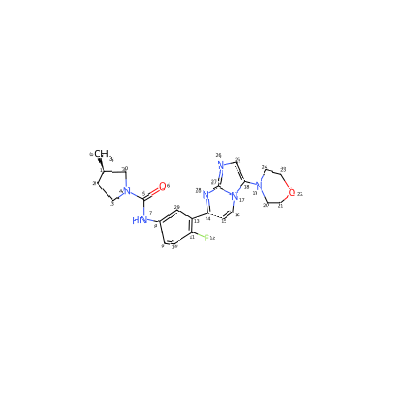 C[C@@H]1CCN(C(=O)Nc2ccc(F)c(-c3ccn4c(N5CCOCC5)cnc4n3)c2)C1